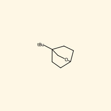 CC(C)(C)C12CCC(CC1)OC2